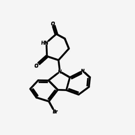 O=C1CCC(n2c3cccc(Br)c3c3cccnc32)C(=O)N1